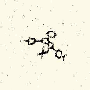 CC(=O)N1CCN(c2nc3c(N4CCOCC4)nc(-c4cnc(N)nc4)nc3n2CC(F)(F)F)CC1